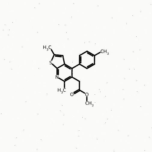 COC(=O)Cc1c(C)nc2sc(C)cc2c1-c1ccc(C)cc1